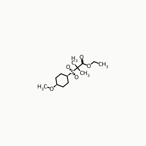 CCOC(=O)C(C)(C)S(=O)(=O)[C@H]1CC[C@@H](OC)CC1